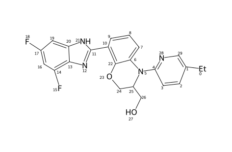 CCc1ccc(N2c3cccc(-c4nc5c(F)cc(F)cc5[nH]4)c3OCC2CO)nc1